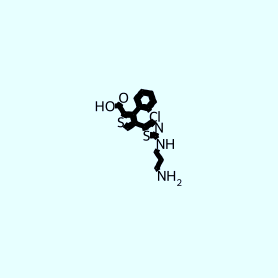 NCCCNc1ncc(-c2csc(C(=O)O)c2-c2ccccc2Cl)s1